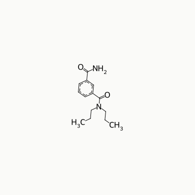 CCCN(CCC)C(=O)c1cccc(C(N)=O)c1